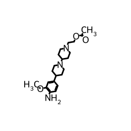 COc1cc(C2CCN(C3CCN(CCOC(C)=O)CC3)CC2)ccc1N